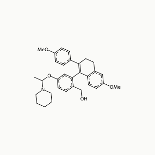 COc1ccc(C2=C(c3cc(OC(C)N4CCCCC4)ccc3CO)c3ccc(OC)cc3CC2)cc1